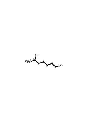 CCCC(F)CCCCCF